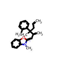 C=CCC(C)(C(=C)/C=C1\Oc2ccccc2N1C)c1ccccc1C